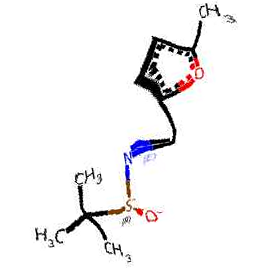 Cc1ccc(/C=N/[S@@+]([O-])C(C)(C)C)o1